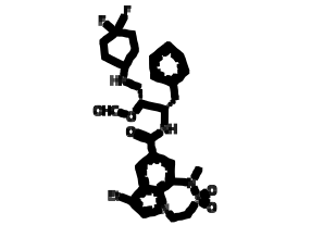 CCc1cn2c3c(cc(C(=O)N[C@@H](Cc4ccccc4)[C@@H](CNC4CCC(F)(F)CC4)OC=O)cc13)N(C)S(=O)(=O)CC2